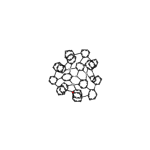 c1ccc(-c2cccc(-c3ccccc3)c2-c2cc3c4c(c2)[Si]2(c5ccccc5-c5ccccc52)c2cc(-c5c(-c6ccccc6)cccc5-c5ccccc5)cc5c2N4c2c(cc(-c4c(-c6ccccc6)cccc4-c4ccccc4)cc2[Si]52c4ccccc4-c4ccccc42)[Si]32c3ccccc3-c3ccccc32)cc1